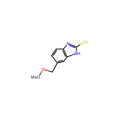 COOCc1ccc2nc(S)[nH]c2c1